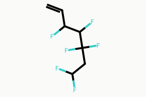 C=CC(F)C(F)C(F)(F)CC(F)F